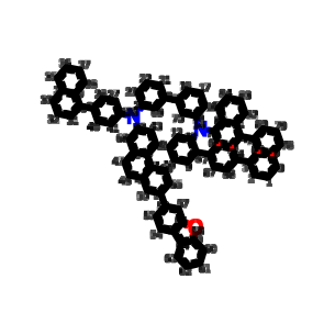 c1ccc(-c2ccc(-c3ccccc3N(c3cccc(-c4cccc(N(c5ccc(-c6cccc7ccccc67)cc5)c5ccc6c(ccc7cc(-c8ccc9c(c8)oc8ccccc89)ccc76)c5)c4)c3)c3ccc(-c4ccccc4)c4ccccc34)cc2)cc1